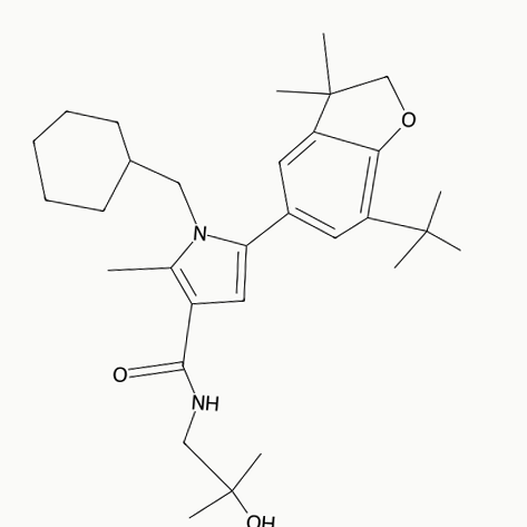 Cc1c(C(=O)NCC(C)(C)O)cc(-c2cc(C(C)(C)C)c3c(c2)C(C)(C)CO3)n1CC1CCCCC1